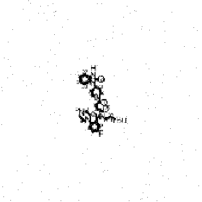 CN1CCN(c2ccc(F)cc2C2SC(CC(=O)N3CCC(n4c(=O)[nH]c5ccccc54)CC3)C(=O)N2CCC(C)(C)C)CC1